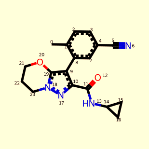 Cc1ccc(C#N)cc1-c1c(C(=O)NC2CC2)nn2c1OCCC2